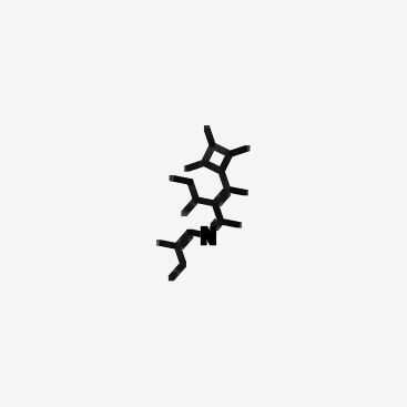 CC\C(C)=C/N=C(C)\C(=C(/C)C1C(C)C(C)C1C)C(C)CC